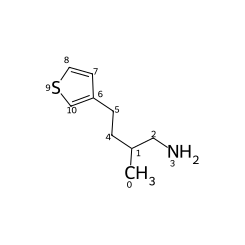 CC(CN)CCc1ccsc1